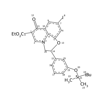 CCOC(=O)c1cn2c3c(cc(I)cc3c1=O)OC(c1cccc(O[Si](C)(C)C(C)(C)C)c1)C2